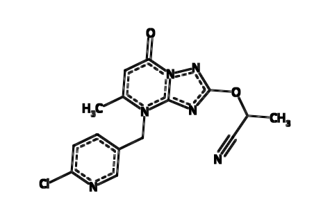 Cc1cc(=O)n2nc(OC(C)C#N)nc2n1Cc1ccc(Cl)nc1